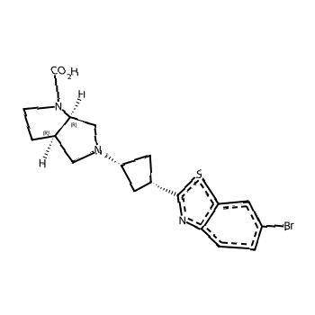 O=C(O)N1CC[C@@H]2CN([C@H]3C[C@@H](c4nc5ccc(Br)cc5s4)C3)C[C@@H]21